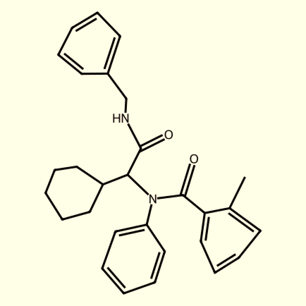 Cc1ccccc1C(=O)N(c1ccccc1)C(C(=O)NCc1ccccc1)C1CCCCC1